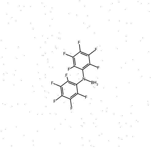 BN(c1c(F)c(F)c(F)c(F)c1F)c1c(F)c(F)c(F)c(F)c1F